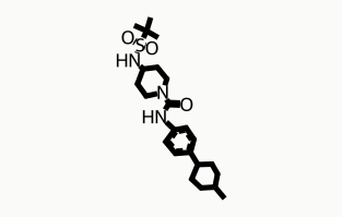 CC1CCC(c2ccc(NC(=O)N3CCC(NS(=O)(=O)C(C)(C)C)CC3)cc2)CC1